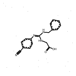 N#Cc1ccc(N=C(NCC(=O)O)NCc2ccccc2)cc1